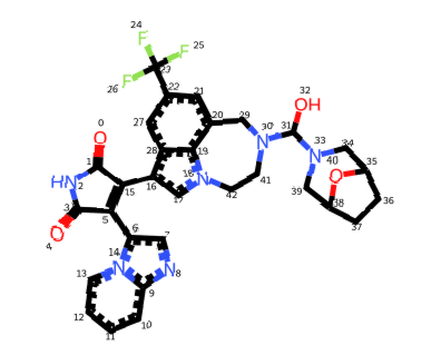 O=C1NC(=O)C(c2cnc3ccccn23)=C1c1cn2c3c(cc(C(F)(F)F)cc13)CN(C(O)N1CC3CCC(C1)O3)CC2